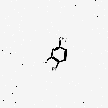 [CH2]c1ccc(C(C)C)c(C(F)(F)F)c1